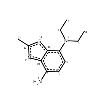 CCN(CC)c1ccc(N)c2nc(C)sc12